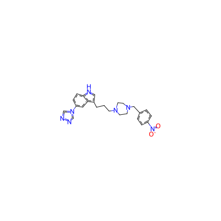 O=[N+]([O-])c1ccc(CN2CCN(CCCc3c[nH]c4ccc(-n5cnnc5)cc34)CC2)cc1